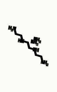 N.N.NCCNCCNCCN